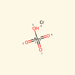 [Cr].[O]=[Mn](=[O])(=[O])[OH]